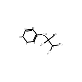 FC(F)C(F)(F)OC1=CCCC=C1